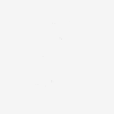 CC(C)(C)OC(=O)N1CCC(=CCN2C(=O)c3ccccc3C2=O)C(F)C1